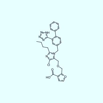 CCCCc1nc(Cl)c(COCc2occc2C(=O)O)n1Cc1ccc(-c2ccccc2)c(-c2nnn[nH]2)c1